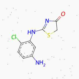 Nc1ccc(Cl)c(NC2=NC(=O)CS2)c1